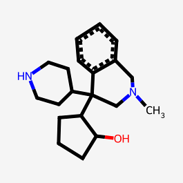 CN1Cc2ccccc2C(C2CCNCC2)(C2CCCC2O)C1